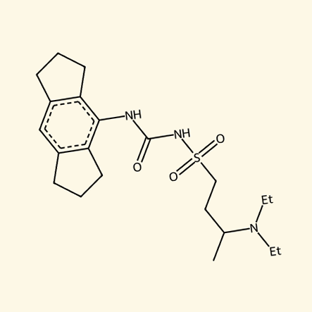 CCN(CC)C(C)CCS(=O)(=O)NC(=O)Nc1c2c(cc3c1CCC3)CCC2